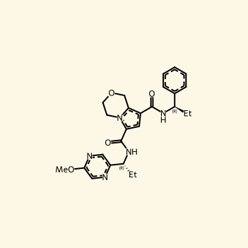 CC[C@@H](NC(=O)c1cc(C(=O)N[C@H](CC)c2cnc(OC)cn2)n2c1COCC2)c1ccccc1